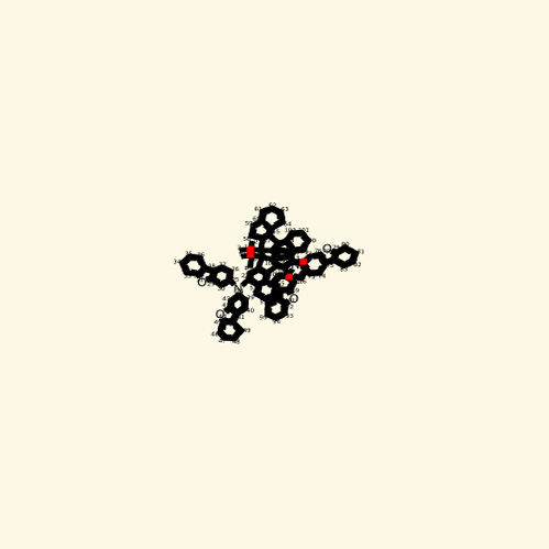 CC(C)(C)C1(C2(C(C)(C)C)c3ccc4ccccc4c3-c3c2cc(N(c2ccc4c(c2)oc2ccccc24)c2ccc4c(c2)oc2ccccc24)c2ccccc32)c2ccc3ccccc3c2-c2c1cc(N(c1ccc3c(c1)oc1ccccc13)c1ccc3c(c1)oc1ccccc13)c1ccccc21